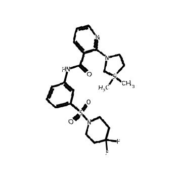 C[Si]1(C)CCN(c2ncccc2C(=O)Nc2cccc(S(=O)(=O)N3CCC(F)(F)CC3)c2)C1